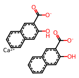 O=C([O-])c1cc2ccccc2cc1O.O=C([O-])c1cc2ccccc2cc1O.[Ca+2]